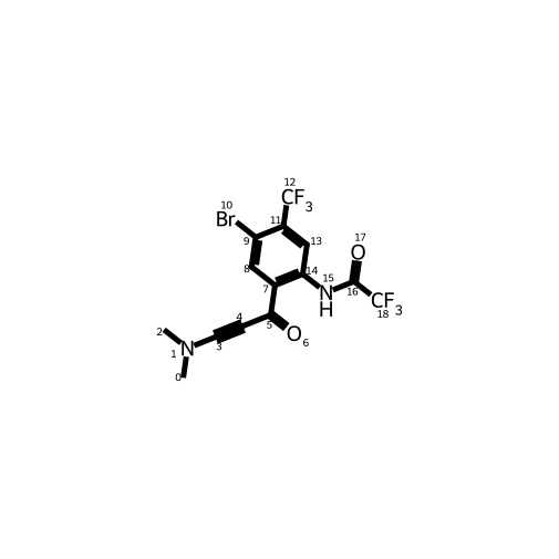 CN(C)C#CC(=O)c1cc(Br)c(C(F)(F)F)cc1NC(=O)C(F)(F)F